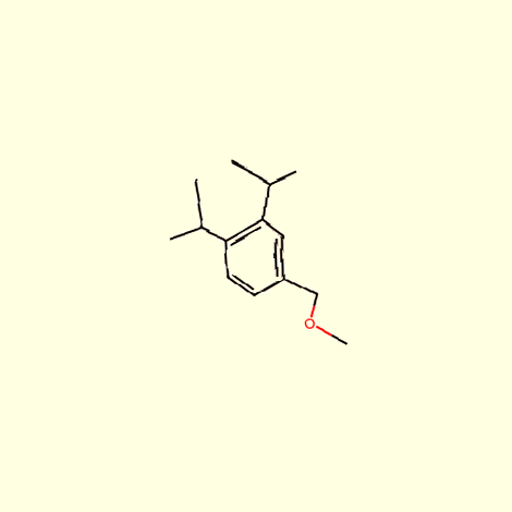 COCc1ccc(C(C)C)c(C(C)C)c1